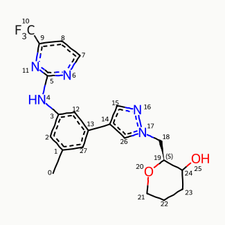 Cc1cc(Nc2nccc(C(F)(F)F)n2)cc(-c2cnn(C[C@@H]3OCCCC3O)c2)c1